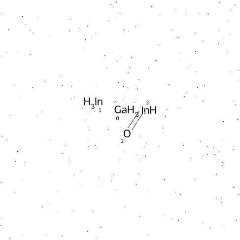 [GaH3].[InH3].[O]=[InH]